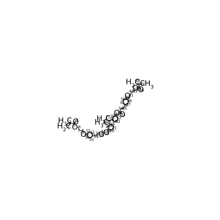 C=C(C)C(=O)OCCCOc1ccc(C=COCOc2ccc3c(c2)C(C)(C)c2cc(OC(=O)C=Cc4ccc(OCCCOC(=O)C(=C)C)cc4)ccc2-3)cc1